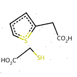 O=C(O)CS.O=C(O)Cc1cccs1